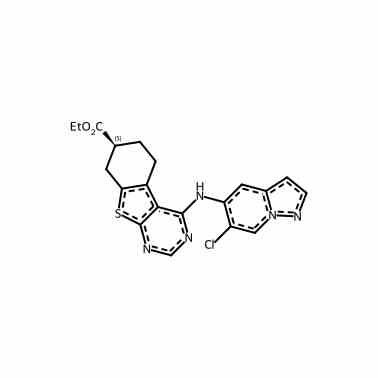 CCOC(=O)[C@H]1CCc2c(sc3ncnc(Nc4cc5ccnn5cc4Cl)c23)C1